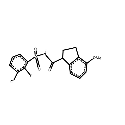 COc1cccc2c1CCC2C(=O)NS(=O)(=O)c1cccc(Cl)c1F